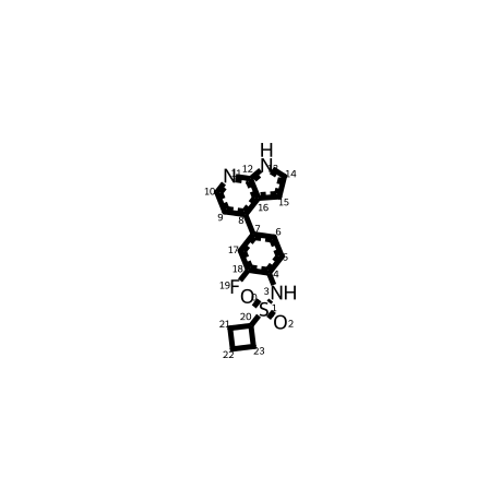 O=S(=O)(Nc1ccc(-c2ccnc3[nH]ccc23)cc1F)C1CCC1